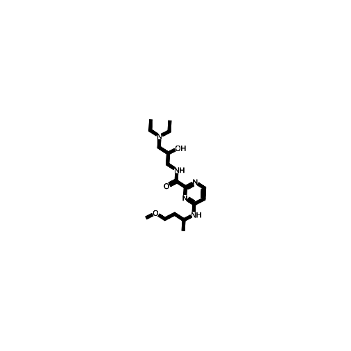 CCN(CC)CC(O)CNC(=O)c1nccc(NC(C)CCOC)n1